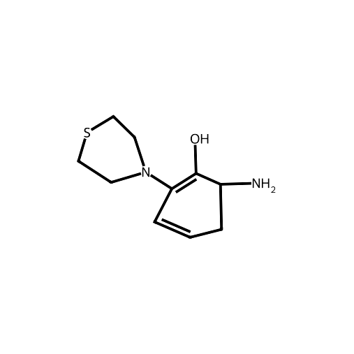 NC1CC=CC(N2CCSCC2)=C1O